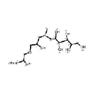 CCCCCC(CCC)COCC(O)CN(C)CC(O)C(O)C(O)C(O)CO